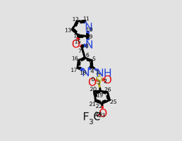 O=S(=O)(Nc1cc(-c2nc3ncccc3o2)ccn1)c1ccc(OC(F)(F)F)cc1